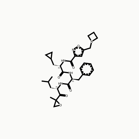 CC(C)C[C@H](NC(=O)[C@H](Cc1ccccc1)NC(=O)[C@H](CC1CC1)NC(=O)c1cc(CN2CCC2)on1)C(=O)C1(C)CO1